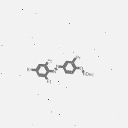 CCCCCCCCCCOc1ccc(/N=N/c2c(CC)cc(Br)cc2CC)cc1C(C)C